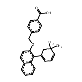 CC1(C)C=CC=C(c2c(OCc3ccc(C(=O)O)cc3)ccc3ccccc23)C1